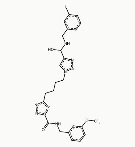 O=C(NCc1cccc(OC(F)(F)F)c1)c1nnc(CCCCn2cc(C(O)NCc3cccc(I)c3)nn2)s1